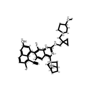 C#Cc1c(F)ccc2cc(O)cc(-c3c(C)cc4c(N5CC6CCC(C5)N6)nc(OCC5(CN6CCC(OC)CC6)CC5)nc4c3F)c12